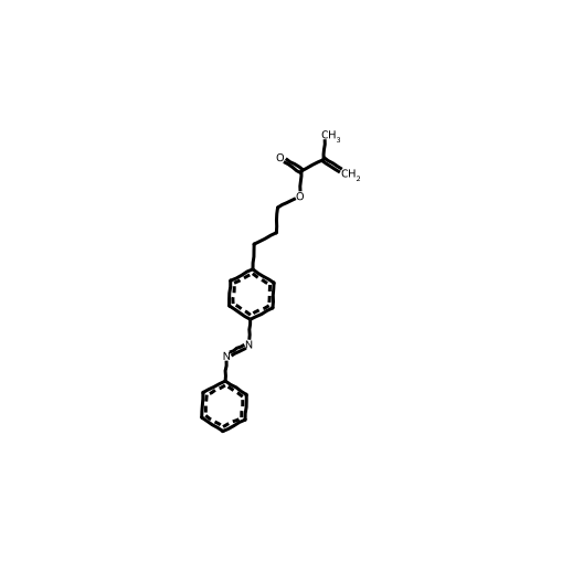 C=C(C)C(=O)OCCCc1ccc(N=Nc2ccccc2)cc1